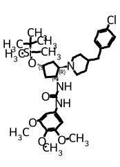 COc1cc(NC(=O)N[C@@H]2C[C@H](O[Si](C)(C)C(C)(C)C)C[C@H]2N2CCC(Cc3ccc(Cl)cc3)CC2)cc(OC)c1OC